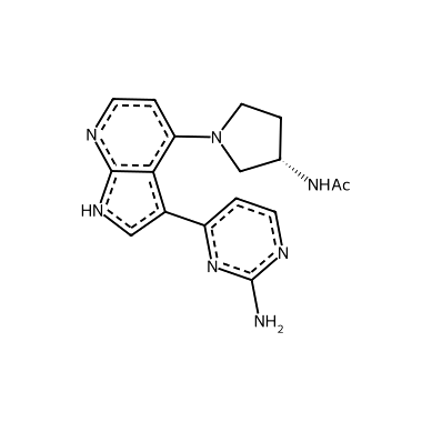 CC(=O)N[C@H]1CCN(c2ccnc3[nH]cc(-c4ccnc(N)n4)c23)C1